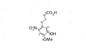 COc1cc([N+](=O)[O-])c(CCCC(=O)O)cc1O